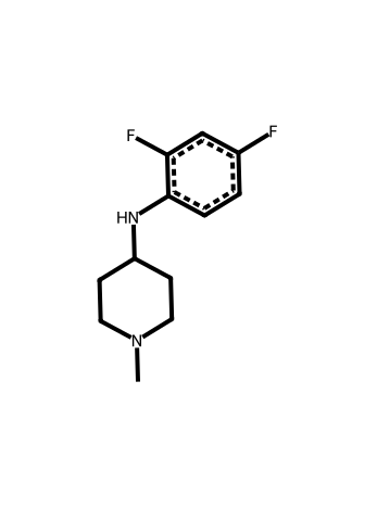 CN1CCC(Nc2ccc(F)cc2F)CC1